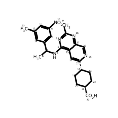 Cc1nc(NC(C)c2cc([N+](=O)[O-])cc(C(F)(F)F)c2)c2cc([C@H]3CC[C@H](C(=O)O)CC3)ncc2n1